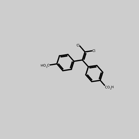 O=C(O)c1ccc(C(=C(Cl)Cl)c2ccc(C(=O)O)cc2)cc1